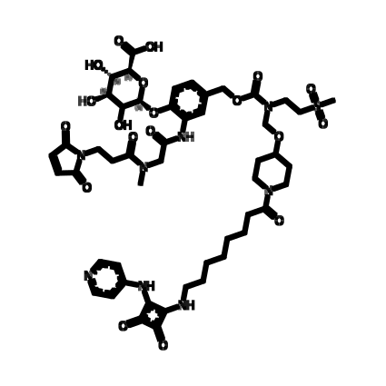 CN(CC(=O)Nc1cc(COC(=O)N(CCS(C)(=O)=O)COC2CCN(C(=O)CCCCCCCNc3c(Nc4ccncc4)c(=O)c3=O)CC2)ccc1O[C@@H]1O[C@H](C(=O)O)[C@@H](O)[C@H](O)C1O)C(=O)CCN1C(=O)C=CC1=O